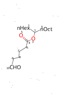 CCCCCCCCC(CCCCCC)OC(=O)CCCCC=O